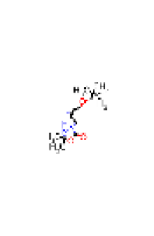 CC(C)(C)COC/C=C\CN1NC(C)(C)OC1=O